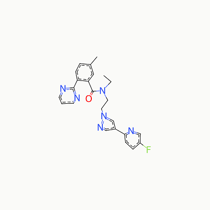 CCN(CCn1cc(-c2ccc(F)cn2)cn1)C(=O)c1cc(C)ccc1-c1ncccn1